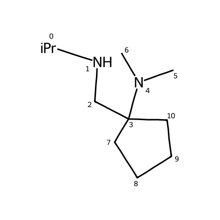 CC(C)NCC1(N(C)C)CCCC1